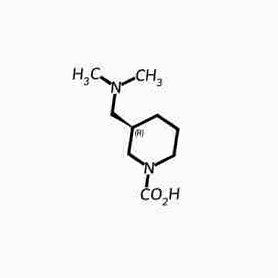 CN(C)C[C@H]1CCCN(C(=O)O)C1